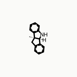 C[C@@]12Cc3ccccc3[C@@H]1Nc1ccccc12